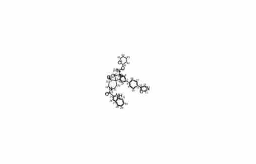 O=C(CC1(c2ccc(-c3ccc(-c4cnco4)cc3)s2)CCN(C(=O)c2cc3ccccc3[nH]2)CCS1(=O)=O)NOC1CCCCO1